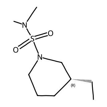 CC[C@@H]1CCCN(S(=O)(=O)N(C)C)C1